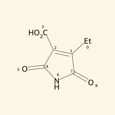 CCC1=C(C(=O)O)C(=O)NC1=O